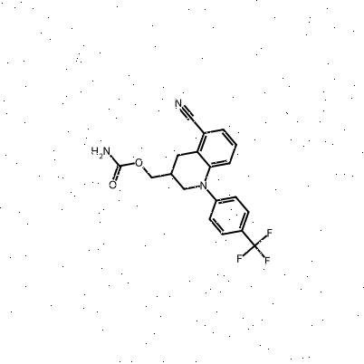 N#Cc1cccc2c1CC(COC(N)=O)CN2c1ccc(C(F)(F)F)cc1